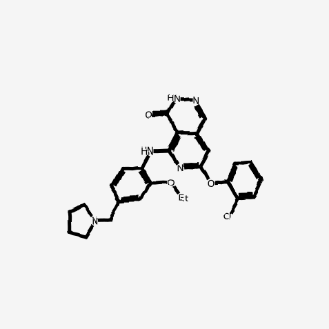 CCOc1cc(CN2CCCC2)ccc1Nc1nc(Oc2ccccc2Cl)cc2cn[nH]c(=O)c12